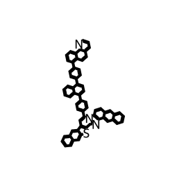 c1ccc2cc3c(ccc4c3nc3c5sc6cc7ccccc7cc6c5cc(-c5ccc(-c6ccc(-c7ccc(-c8cccc9c8ccc8cccnc89)cc7)c7ccccc67)cc5)n43)cc2c1